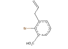 C=CCc1cccc(C(=O)O)c1Br